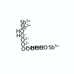 [O-2].[O-2].[O-2].[O-2].[O-2].[OH-].[OH-].[OH-].[OH-].[OH-].[Sb+5].[Sb+5].[Sb+5]